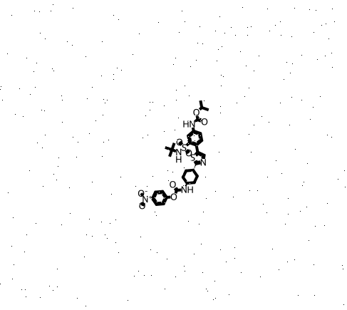 CC(C)OC(=O)Nc1ccc(-c2cnc([C@H]3CC[C@H](NC(=O)Oc4ccc([N+](=O)[O-])cc4)CC3)s2)c(S(=O)(=O)NC(C)(C)C)c1